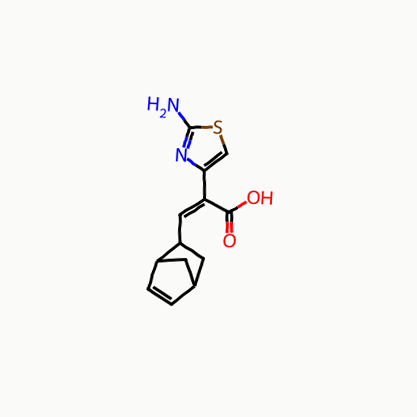 Nc1nc(/C(=C/C2CC3C=CC2C3)C(=O)O)cs1